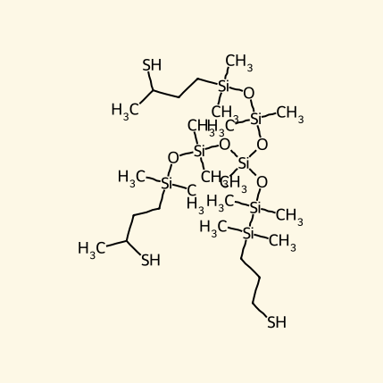 CC(S)CC[Si](C)(C)O[Si](C)(C)O[Si](C)(O[Si](C)(C)O[Si](C)(C)CCC(C)S)O[Si](C)(C)[Si](C)(C)CCCS